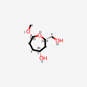 CO[C@H]1CC[C@@H](O)C[C@@H](CO)O1